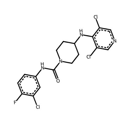 O=C(Nc1ccc(F)c(Cl)c1)N1CCC(Nc2c(Cl)cncc2Cl)CC1